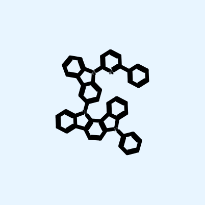 c1ccc(-c2cccc(-n3c4ccccc4c4cc(-n5c6ccccc6c6ccc7c(c8ccccc8n7-c7ccccc7)c65)ccc43)n2)cc1